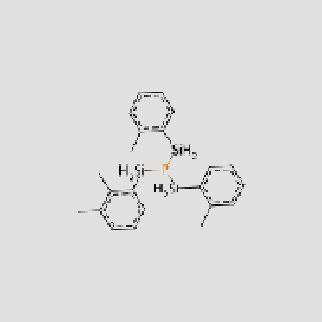 Cc1ccccc1[SiH2]P([SiH2]c1ccccc1C)[SiH2]c1cccc(C)c1C